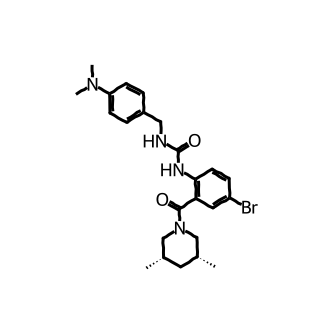 C[C@@H]1C[C@H](C)CN(C(=O)c2cc(Br)ccc2NC(=O)NCc2ccc(N(C)C)cc2)C1